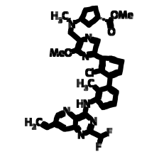 C=Cc1cnc2c(Nc3cccc(-c4cccc(-c5cnc(CN(C)[C@H]6CC[C@H](C(=O)OC)C6)c(OC)n5)c4Cl)c3C)nc(C(F)F)nc2c1